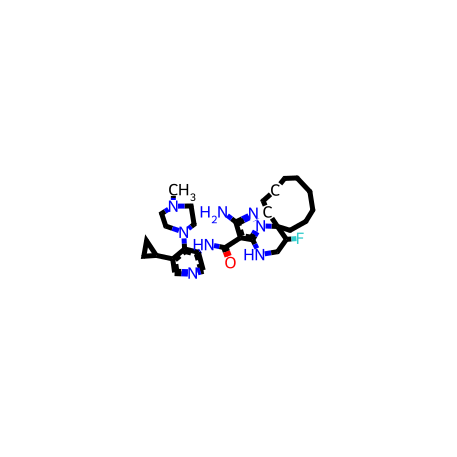 CN1CCN(c2c(NC(=O)c3c(N)nn4c3NCC(F)C43CCCCCCCCC3)cncc2C2CC2)CC1